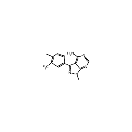 Cc1ccc(-c2nn(C)c3ncnc(N)c23)cc1C(F)(F)F